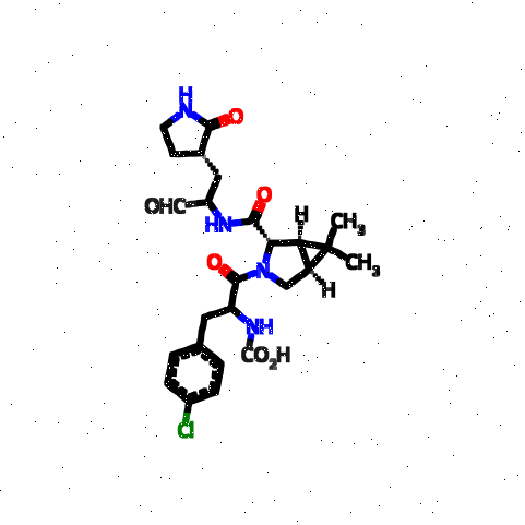 CC1(C)[C@@H]2[C@@H](C(=O)NC(C=O)C[C@@H]3CCNC3=O)N(C(=O)C(Cc3ccc(Cl)cc3)NC(=O)O)C[C@@H]21